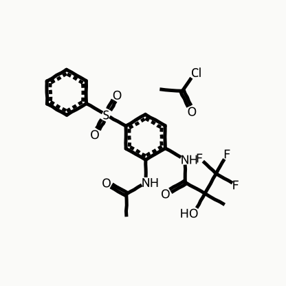 CC(=O)Cl.CC(=O)Nc1cc(S(=O)(=O)c2ccccc2)ccc1NC(=O)C(C)(O)C(F)(F)F